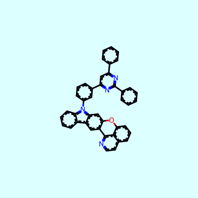 c1ccc(-c2cc(-c3cccc(-n4c5ccccc5c5cc6c(cc54)Oc4cccc5ccnc-6c45)c3)nc(-c3ccccc3)n2)cc1